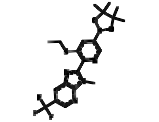 CCSc1cc(B2OC(C)(C)C(C)(C)O2)cnc1-c1nc2cc(C(F)(F)F)cnc2n1C